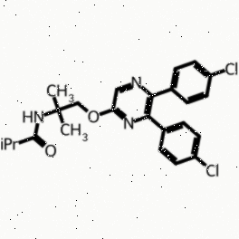 CC(C)C(=O)NC(C)(C)COc1cnc(-c2ccc(Cl)cc2)c(-c2ccc(Cl)cc2)n1